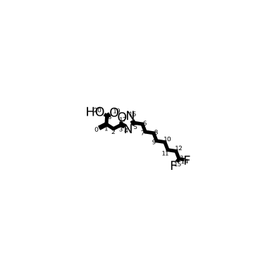 C=C(Cc1nc(CCCCCCCC(F)F)no1)C(=O)O